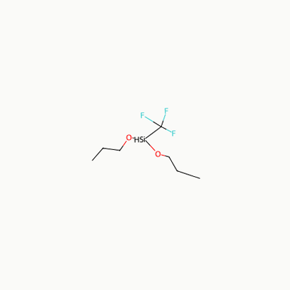 CCCO[SiH](OCCC)C(F)(F)F